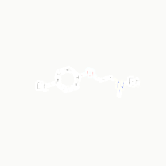 CCc1ccc(OCCN(C)CC)cc1